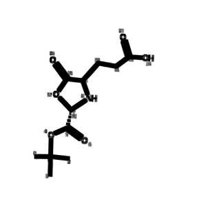 CC(C)(C)OC(=O)[C@H]1NC(CCC(=O)O)C(=O)O1